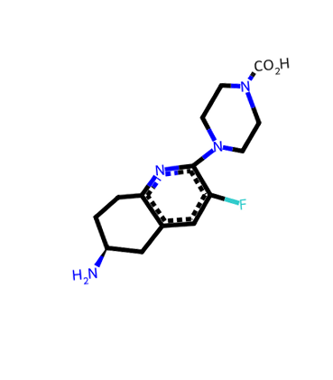 N[C@H]1CCc2nc(N3CCN(C(=O)O)CC3)c(F)cc2C1